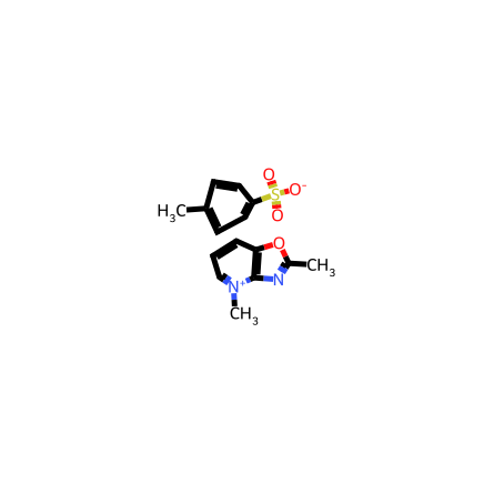 Cc1ccc(S(=O)(=O)[O-])cc1.Cc1nc2c(ccc[n+]2C)o1